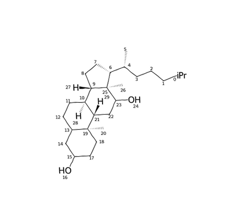 CC(C)CCC[C@@H](C)[C@H]1CC[C@H]2[C@@H]3CCC4CC(O)CC[C@]4(C)[C@H]3CC(O)[C@]12C